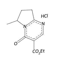 CCOC(=O)c1cnc2n(c1=O)C(C)CC2.Cl